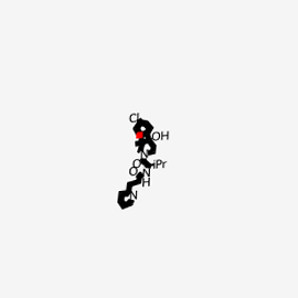 CC(C)[C@@H](NC(=O)CCc1ccccn1)C(=O)N1CC[C@](O)(c2ccc(Cl)cc2)C(C)(C)C1